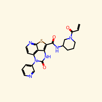 C=CC(=O)N1CCCC(NC(=O)c2sc3nccc4c3c2NC(=O)N4c2cccnc2)C1